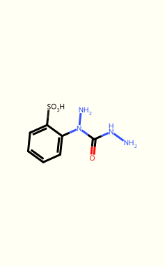 NNC(=O)N(N)c1ccccc1S(=O)(=O)O